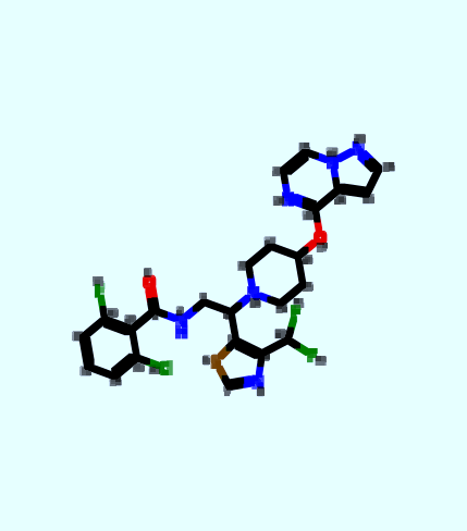 O=C(NCC(c1scnc1C(F)F)N1CCC(Oc2nccn3nccc23)CC1)c1c(F)cccc1Cl